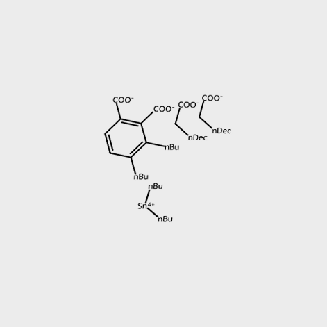 CCCCCCCCCCCC(=O)[O-].CCCCCCCCCCCC(=O)[O-].CCCCc1ccc(C(=O)[O-])c(C(=O)[O-])c1CCCC.CCC[CH2][Sn+4][CH2]CCC